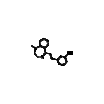 CN1CCN=C(C=Cc2cccc(O)c2)c2ccccc21